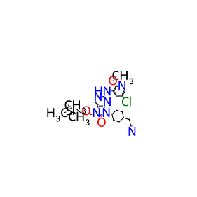 COc1ncc(Cl)cc1Nc1ncc2c(n1)n([C@H]1CC[C@H](CC#N)CC1)c(=O)n2COCC[Si](C)(C)C